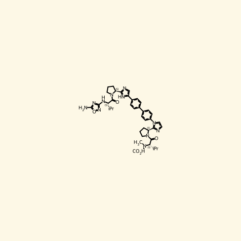 CC(C)[C@H](Nc1noc(N)n1)C(=O)N1CCC[C@H]1c1ncc(-c2ccc(-c3ccc(-n4ccnc4[C@@H]4CCCN4C(=O)[C@H](C(C)C)N(C)C(=O)O)cc3)cc2)[nH]1